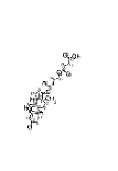 C[C@]12CC[C@H]3[C@@H](CCC4=CC(=O)CC[C@@]43C)[C@@H]1CC[C@@H]2OC(=O)CCCOC(=O)CCC(=O)O